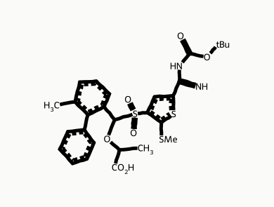 CSc1sc(C(=N)NC(=O)OC(C)(C)C)cc1S(=O)(=O)C(OC(C)C(=O)O)c1cccc(C)c1-c1ccccc1